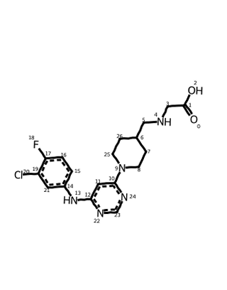 O=C(O)CNCC1CCN(c2cc(Nc3ccc(F)c(Cl)c3)ncn2)CC1